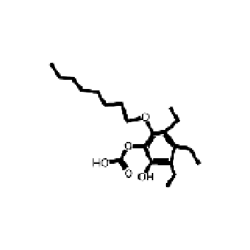 CCCCCCCCOc1c(CC)c(CC)c(CC)c(O)c1OC(=O)O